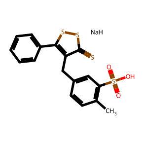 Cc1ccc(Cc2c(-c3ccccc3)ssc2=S)cc1S(=O)(=O)O.[NaH]